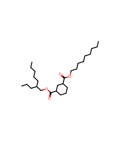 CCCCCCCCCOC(=O)C1CCCC(C(=O)OCC(CCC)CCCCC)C1